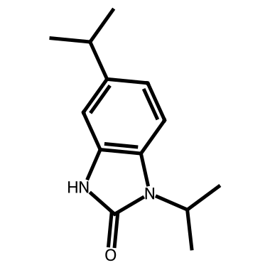 CC(C)c1ccc2c(c1)[nH]c(=O)n2C(C)C